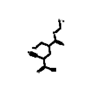 CCSC(=S)C(CS)CC(C#N)C(=O)O